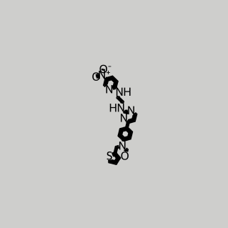 O=CN(Cc1cccs1)c1ccc(-c2ccnc(NCCNc3ccc([N+](=O)[O-])cn3)n2)cc1